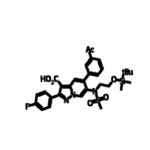 CC(=O)c1cccc(-c2cc3c(C(=O)O)c(-c4ccc(F)cc4)nn3cc2N(CCO[Si](C)(C)C(C)(C)C)S(C)(=O)=O)c1